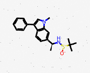 C[C@H](N[S@+]([O-])C(C)(C)C)c1ccc2c(-c3ccccc3)cn(C)c2c1